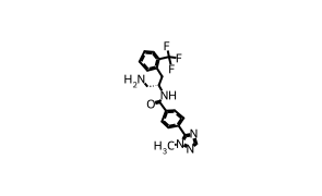 Cn1ncnc1-c1ccc(C(=O)N[C@H](CN)Cc2ccccc2C(F)(F)F)cc1